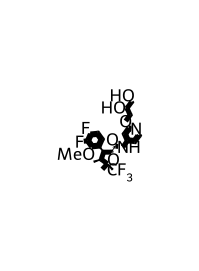 COc1c([C@H]2[C@H](C(=O)Nc3ccnc(OCC(O)CO)c3)O[C@@](C)(C(F)(F)F)[C@H]2C)ccc(F)c1F